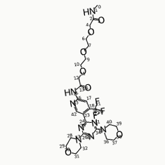 CNC(=O)COCCOCCOCC(=O)Nc1cc(C(F)(F)F)c(-c2nc(N3CCOCC3)nc(N3CCOCC3)n2)cn1